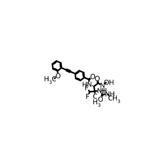 CNC(=O)NC(C)(C(F)F)[C@H](NC(=O)c1ccc(C#Cc2ccccc2OC)cc1)C(=O)NO